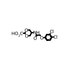 O=C(COc1ccc(Cl)c(Cl)c1)NC1COC(C(=O)O)OC1